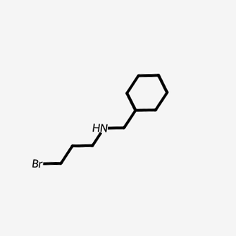 BrCCCNCC1CCCCC1